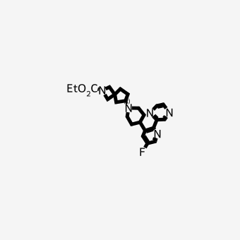 CCOC(=O)N1CC2(CC[C@@H](N3CCC(c4cc(F)cnc4-c4cnccn4)CC3)C2)C1